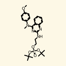 COc1ccc(N(C)c2nc(NCCOP(=O)(OC(C)(C)C)OC(C)(C)C)nc3ccccc23)cc1